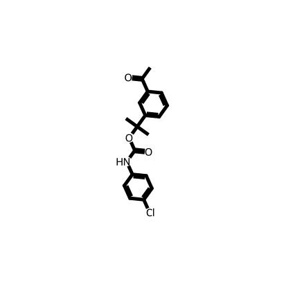 CC(=O)c1cccc(C(C)(C)OC(=O)Nc2ccc(Cl)cc2)c1